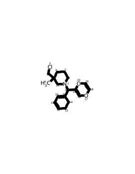 CC1(CCl)CCCN(C(C2=CC=CCC2)C2=COC=CO2)C1